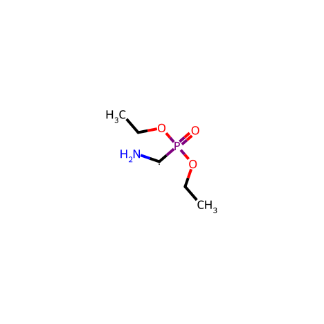 CCOP(=O)([CH]N)OCC